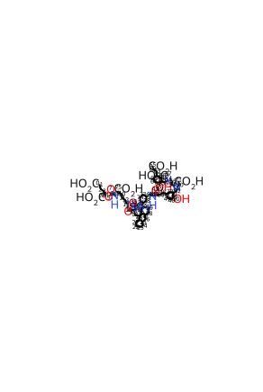 O=C(O)CCC[C@H](OC(=O)N[C@@H](CCCCNC(=O)[C@H](Cc1c2ccccc2cc2ccccc12)NC(=O)[C@H]1CC[C@H](CNC(=O)CCc2ccc(O)c(CN(CCN(CC(=O)O)Cc3cc(CCC(=O)O)ccc3O)CC(=O)O)c2)CC1)C(=O)O)C(=O)O